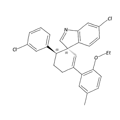 CCOc1ccc(C)cc1C1=C[C@@]2(C=Nc3cc(Cl)ccc32)[C@H](c2cccc(Cl)c2)CC1